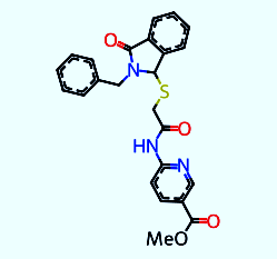 COC(=O)c1ccc(NC(=O)CSC2c3ccccc3C(=O)N2Cc2ccccc2)nc1